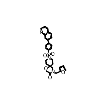 O=C1COC2(CCN(S(=O)(=O)c3ccc(-c4ccc5cccnc5c4)cc3)CC2)CN1Cc1ccco1